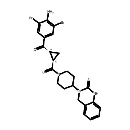 Nc1c(Br)cc(C(=O)[C@@H]2C[C@H]2C(=O)N2CCC(N3Cc4ccccc4NC3=O)CC2)cc1Br